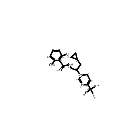 O=C(NCC(CC1CC1)N1C=NC(C(F)(F)F)=CC1)c1c(Cl)cccc1Cl